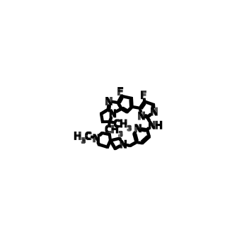 CN1CCC2(CC1)CN(Cc1ccc(Nc3ncc(F)c(-c4cc(F)c5nc6n(c5c4)C(C)(C)CC6)n3)nc1)C2